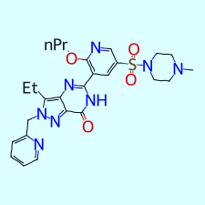 CCCOc1ncc(S(=O)(=O)N2CCN(C)CC2)cc1-c1nc2c(CC)n(Cc3ccccn3)nc2c(=O)[nH]1